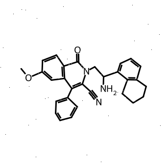 COc1ccc2c(=O)n(CC(N)c3cccc4c3CCCC4)c(C#N)c(-c3ccccc3)c2c1